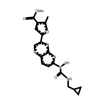 COC(=O)c1cc(-c2cnc3ccc(N(S)C(=O)NCC4CC4)nc3n2)oc1C